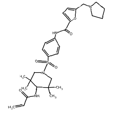 C=CC(=O)NC1C(C)(C)CN(S(=O)(=O)c2ccc(NC(=O)c3ccc(CN4CCCC4)o3)cc2)CC1(C)C